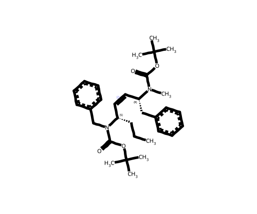 CCC[C@@H](/C=C\[C@@H](Cc1ccccc1)N(C)C(=O)OC(C)(C)C)N(Cc1ccccc1)C(=O)OC(C)(C)C